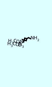 CC(C)(C)OC(=O)N1CC2(CC(CCN)C2)C1